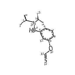 CC(C)N(Bc1cccc(OC=S)c1)C(C)C